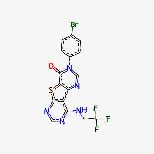 O=c1c2sc3ncnc(NCC(F)(F)F)c3c2ncn1-c1ccc(Br)cc1